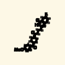 COc1ccc(C(=O)C2CCN(C(=O)CCCc3nc4ccc(F)cc4c(=O)[nH]3)CC2)nn1